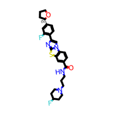 O=C(NCCCN1CCC(F)CC1)c1ccc2c(c1)sc1nc(-c3ccc([C@@H]4CCCO4)cc3F)cn12